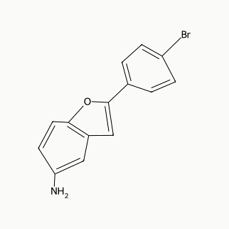 Nc1ccc2oc(-c3ccc(Br)cc3)cc2c1